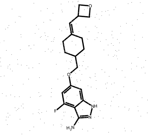 Nc1n[nH]c2cc(OCC3CCC(=CC4COC4)CC3)cc(F)c12